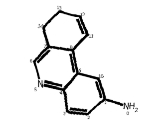 Nc1ccc2ncc3c(c2c1)C=CCC3